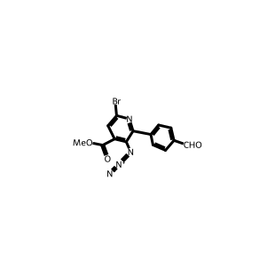 COC(=O)c1cc(Br)nc(-c2ccc(C=O)cc2)c1N=[N+]=[N-]